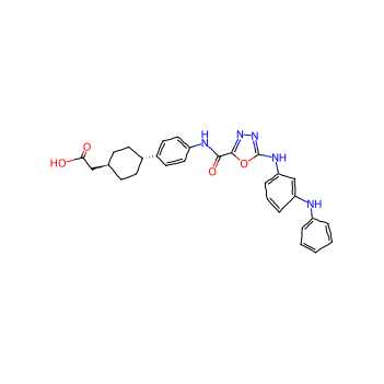 O=C(O)C[C@H]1CC[C@H](c2ccc(NC(=O)c3nnc(Nc4cccc(Nc5ccccc5)c4)o3)cc2)CC1